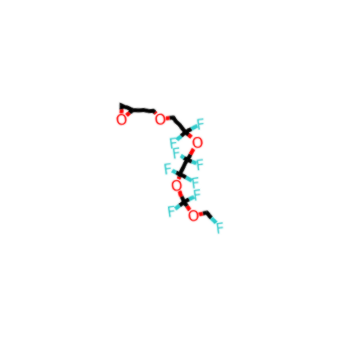 FCOC(F)(F)OC(F)(F)C(F)(F)OC(F)(F)COCC1CO1